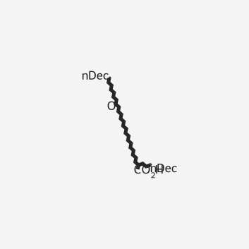 CCCCCCCCCCCCCCCCCC(=O)CCCCCCCCCCCCCCCCC(CCCCCCCCCCCCC)C(=O)O